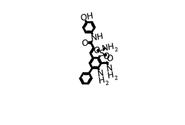 NC(=O)c1c(N)c(-c2ccccc2)cc(C=CC(=O)Nc2ccc(O)cc2)c1S(N)(=O)=O